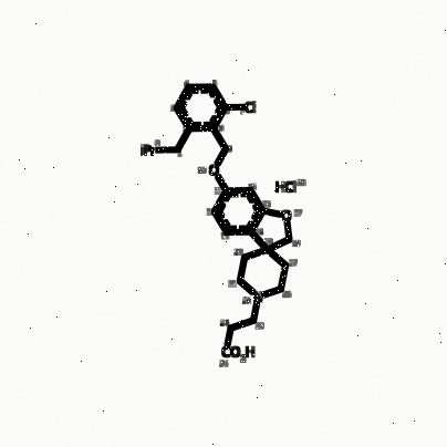 CC(C)Cc1cccc(Cl)c1COc1ccc2c(c1)OCC21CCN(CCC(=O)O)CC1.Cl